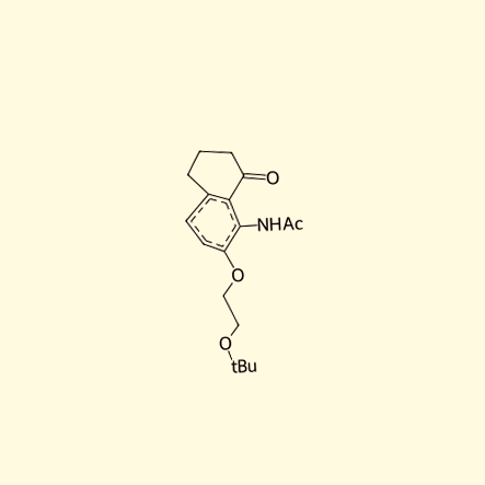 CC(=O)Nc1c(OCCOC(C)(C)C)ccc2c1C(=O)CCC2